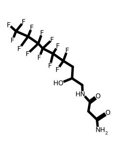 NC(=O)CC(=O)NCC(O)CC(F)(F)C(F)(F)C(F)(F)C(F)(F)C(F)(F)C(F)(F)F